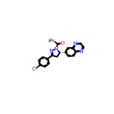 CC(C)C(=O)N1N=C(c2ccc(Cl)cc2)C[C@H]1c1ccc2nccnc2c1